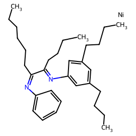 CCCCCCC(=Nc1ccccc1)C(CCCC)=Nc1cc(CCCC)cc(CCCC)c1.[Ni]